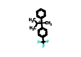 CC(C)[C@](C)(c1ccccc1)c1ccc(C(F)(F)F)cc1